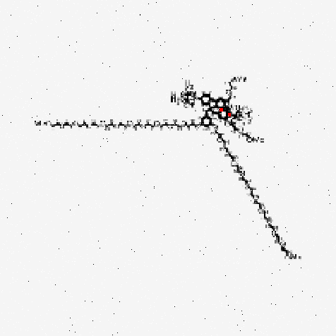 COCCOCCOCCOCCOCCOCCOCCOCCOCCOCCOCCOc1cc(CC2(Cc3cc(OCCOCCOC)cc(OCCOCCOC)c3)c3cc(B4OC(C)(C)C(C)(C)O4)ccc3-c3ccc(B4OC(C)(C)C(C)(C)O4)cc32)cc(OCCOCCOCCOCCOCCOCCOCCOCCOCCOCCOCCOC)c1